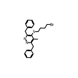 Cc1c(Cc2ccccc2)nnc(Cc2ccccc2)c1SCCCCBr